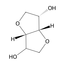 OC1CO[C@H]2[C@@H](O)CO[C@@H]12